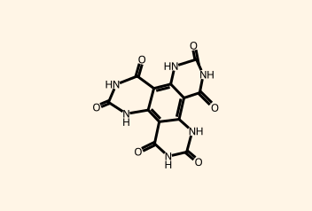 O=c1[nH]c(=O)c2c([nH]1)c1c(=O)[nH]c(=O)[nH]c1c1c(=O)[nH]c(=O)[nH]c21